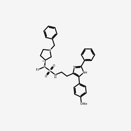 CCN([C@H]1CCN(Cc2ccccc2)C1)S(=O)(=O)NCCc1nc(-c2ccccc2)[nH]c1-c1ccc(OC)cc1